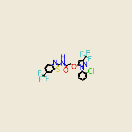 O=C(COc1cc(C(F)(F)F)nn1-c1ccccc1Cl)Nc1nc2ccc(C(F)(F)F)cc2s1